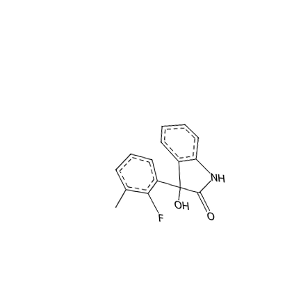 Cc1cccc(C2(O)C(=O)Nc3ccccc32)c1F